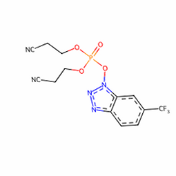 N#CCCOP(=O)(OCCC#N)On1nnc2ccc(C(F)(F)F)cc21